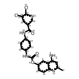 Cc1cc(N)c2cc(OC(=O)Nc3ccc(NC(=O)c4cnc(Cl)c(Cl)c4)cc3)ccc2n1